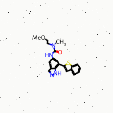 COCCN(C)C(=O)Nc1cc(-c2cc3ccccc3s2)c2[nH]ncc2c1